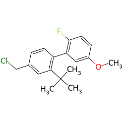 COc1ccc(F)c(-c2ccc(CCl)cc2C(C)(C)C)c1